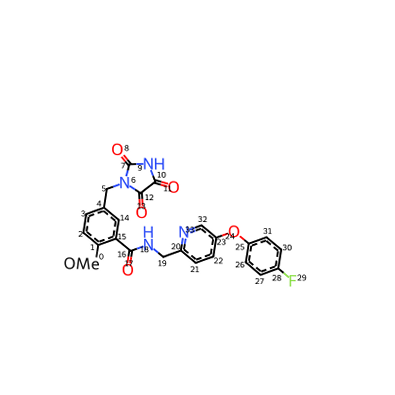 COc1ccc(CN2C(=O)NC(=O)C2=O)cc1C(=O)NCc1ccc(Oc2ccc(F)cc2)cn1